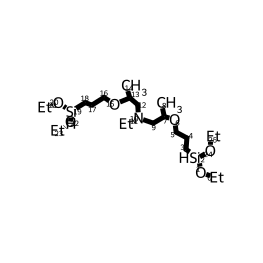 CCO[SiH](CCCOC(C)CN(CC)CC(C)OCCC[SiH](OCC)OCC)OCC